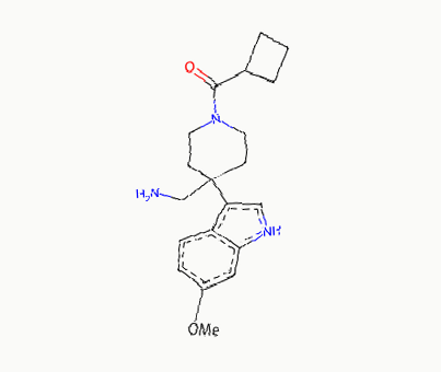 COc1ccc2c(C3(CN)CCN(C(=O)C4CCC4)CC3)c[nH]c2c1